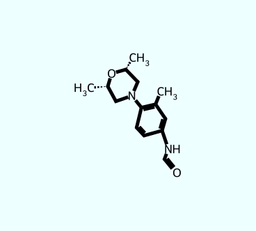 Cc1cc(NC=O)ccc1N1C[C@@H](C)O[C@@H](C)C1